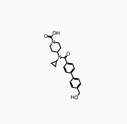 O=C(O)N1CCC(N(C(=O)c2ccc(-c3ccc(CO)cc3)cc2)C2CC2)CC1